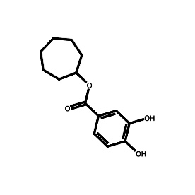 O=C(OC1CCCCCC1)c1ccc(O)c(O)c1